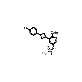 COc1ncc(NS(C)(=O)=O)cc1C1CC(c2ccc(Cl)cc2)C1